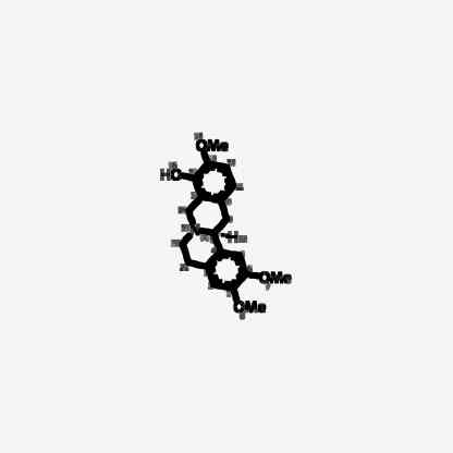 COc1cc2c(cc1OC)[C@@H]1Cc3ccc(OC)c(O)c3CN1CC2